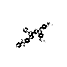 COc1ccc(CN(Cc2ccc(OC)cc2)c2ncc(-c3nc(N4CCOCC4)nc4c3CCN4c3ccc(NC(=O)c4ccncc4)cc3)cn2)cc1